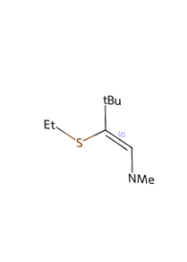 CCS/C(=C\NC)C(C)(C)C